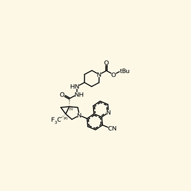 CC(C)(C)OC(=O)N1CCC(NNC(=O)[C@]23CN(c4ccc(C#N)c5ncccc45)C[C@@]2(C(F)(F)F)C3)CC1